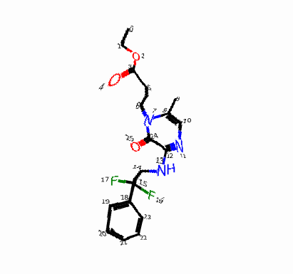 CCOC(=O)CCn1c(C)cnc(NCC(F)(F)c2ccccc2)c1=O